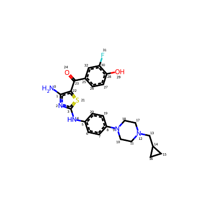 Nc1nc(Nc2ccc(N3CCN(CC4CC4)CC3)cc2)sc1C(=O)c1ccc(O)c(F)c1